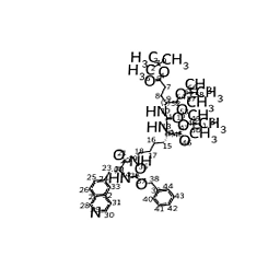 CC(C)(C)OC(=O)CC[C@H](NC(=O)N[C@@H](CCCCNC(=O)[C@@H](Cc1ccc2cnccc2c1)NC(=O)OCc1ccccc1)C(=O)OC(C)(C)C)C(=O)OC(C)(C)C